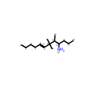 CCCC/C=C/C(C)(C)C(C)C(N)CCC